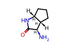 N[C@H]1C(=O)N[C@@H]2CCC[C@@H]21